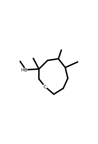 CBC1(C)CCCCCC(C)C(C)C1